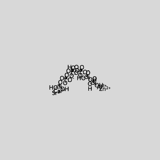 O.O=P([O-])([O-])[O-].O=P([O-])([O-])[O-].O=P([O-])([O-])[O-].O=[Si](O)O.O=[Si](O)O.O=[Si](O)O.[Al+3].[Ca+2].[Sr+2].[Zn+2]